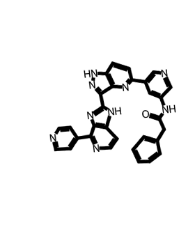 O=C(Cc1ccccc1)Nc1cncc(-c2ccc3[nH]nc(-c4nc5c(-c6ccncc6)nccc5[nH]4)c3n2)c1